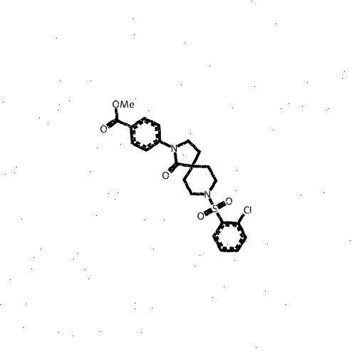 COC(=O)c1ccc(N2CCC3(CCN(S(=O)(=O)c4ccccc4Cl)CC3)C2=O)cc1